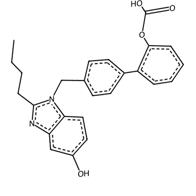 CCCCc1nc2cc(O)ccc2n1Cc1ccc(-c2ccccc2OC(=O)O)cc1